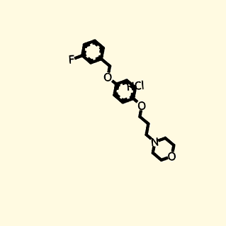 Cl.Fc1cccc(COc2ccc(OCCCN3CCOCC3)cc2)c1